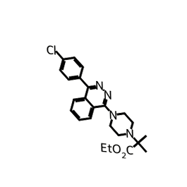 CCOC(=O)C(C)(C)N1CCN(c2nnc(-c3ccc(Cl)cc3)c3ccccc23)CC1